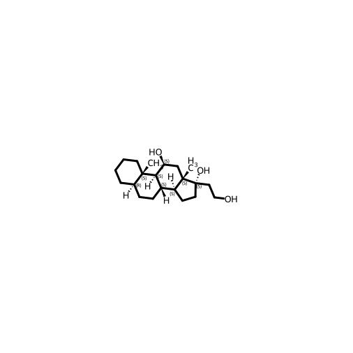 C[C@]12CCCC[C@@H]1CC[C@@H]1[C@@H]2[C@@H](O)C[C@@]2(C)[C@H]1CC[C@]2(O)CCO